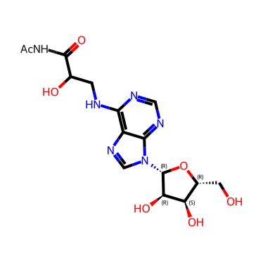 CC(=O)NC(=O)C(O)CNc1ncnc2c1ncn2[C@@H]1O[C@H](CO)[C@@H](O)[C@H]1O